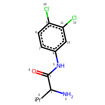 CC(C)C(N)C(=O)Nc1ccc(Cl)c(Cl)c1